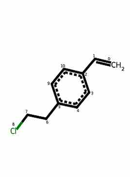 C=Cc1ccc(CCCl)cc1